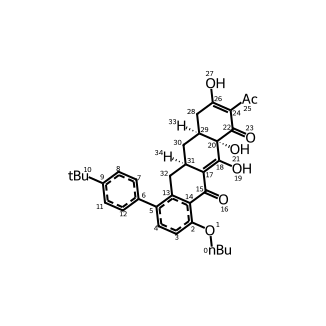 CCCCOc1ccc(-c2ccc(C(C)(C)C)cc2)c2c1C(=O)C1=C(O)[C@]3(O)C(=O)C(C(C)=O)=C(O)C[C@@H]3C[C@@H]1C2